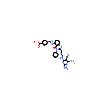 N#Cc1c(N)nc(N)nc1NCCCc1nc2cccc(NCc3ccc(C(=O)O)cc3)c2c(=O)n1-c1ccccc1